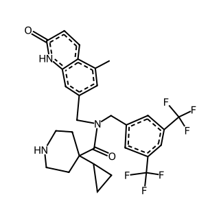 Cc1cc(CN(Cc2cc(C(F)(F)F)cc(C(F)(F)F)c2)C(=O)C2(C3CC3)CCNCC2)cc2[nH]c(=O)ccc12